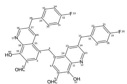 O=Cc1cc(Cc2cc(C=O)c(O)c3ncc(Cc4ccc(F)cc4)cc23)c2cc(Cc3ccc(F)cc3)cnc2c1O